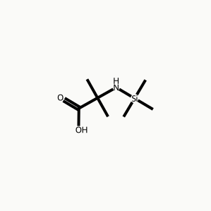 CC(C)(N[Si](C)(C)C)C(=O)O